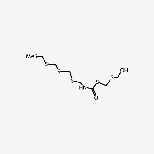 CSCSCSCSCNC(=O)SCSCO